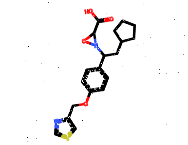 O=C(O)C1ON1C(CC1CCCC1)c1ccc(OCc2cscn2)cc1